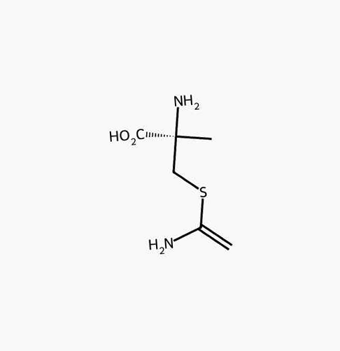 C=C(N)SC[C@](C)(N)C(=O)O